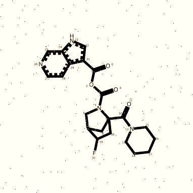 O=C(OC(=O)N1CC2CC1(C(=O)N1CCCCC1)CC2F)c1c[nH]c2cnccc12